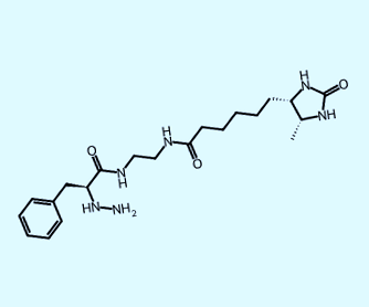 C[C@H]1NC(=O)N[C@H]1CCCCCC(=O)NCCNC(=O)[C@H](Cc1ccccc1)NN